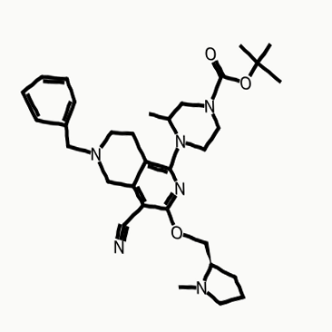 CC1CN(C(=O)OC(C)(C)C)CCN1c1nc(OC[C@H]2CCCN2C)c(C#N)c2c1CCN(Cc1ccccc1)C2